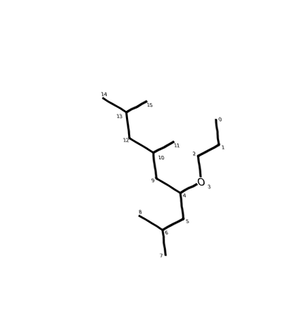 CCCOC(CC(C)C)CC(C)CC(C)C